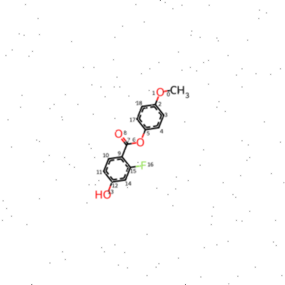 COc1ccc(OC(=O)c2ccc(O)cc2F)cc1